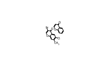 Cc1cc2occ(Br)c(=O)c2cc1Cl.O=c1ccoc2ccccc12